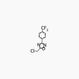 FC(F)(F)c1ccc(-c2noc(CCl)n2)cc1